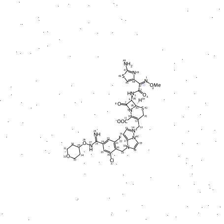 CO/N=C(\C(=O)N[C@@H]1C(=O)N2C(C(=O)[O-])=C(C[n+]3ccc4n(Cc5c(F)cc(C(=N)NOC6CCOCC6)cc5Cl)ccn43)CS[C@H]12)c1csc(N)n1